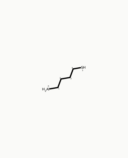 [AlH2][CH2]CCCS